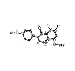 CCCOc1cc(F)c(F)c2c(=O)c(-c3ccc(OC)cc3)c[nH]c12